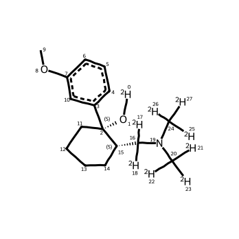 [2H]O[C@@]1(c2cccc(OC)c2)CCCC[C@H]1C([2H])([2H])N(C([2H])([2H])[2H])C([2H])([2H])[2H]